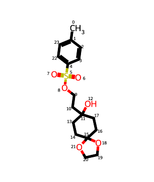 Cc1ccc(S(=O)(=O)OCCC2(O)CCC3(CC2)OCCO3)cc1